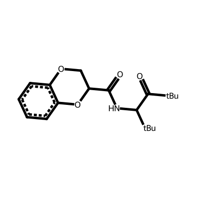 CC(C)(C)C(=O)C(NC(=O)C1COc2ccccc2O1)C(C)(C)C